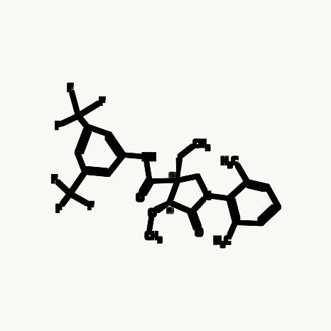 CC[C@]1(C(=O)Nc2cc(C(F)(F)F)cc(C(F)(F)F)c2)CN(c2c(C)cccc2C)C(=O)[C@H]1OC